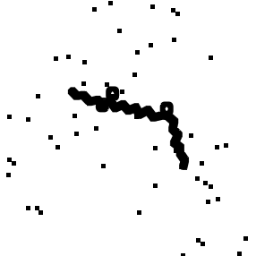 CCCCCCCCC1OC1CCCCCCCC(=O)OCCCCC